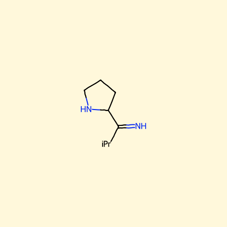 CC(C)C(=N)C1CCCN1